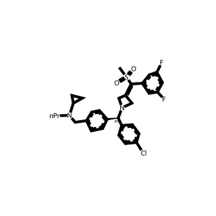 CCCN(Cc1ccc([C@H](c2ccc(Cl)cc2)N2CC(=C(c3cc(F)cc(F)c3)S(C)(=O)=O)C2)cc1)C1CC1